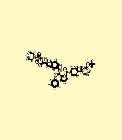 CC(C)(C)OC(=O)N[C@H](CF)[C@H]1CC[C@H](C(=O)N2CC[C@H](c3ccccc3)[C@H]2C(=O)Nc2ccc3oc(C(=O)NS(=O)(=O)N4CCOCC4)cc3c2)CC1